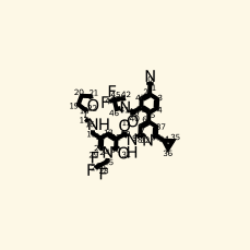 N#Cc1ccc(-c2cc(NC(=O)c3cc(CNC[C@@H]4CCCO4)cn(CC(F)(F)F)c3=O)nc(C3CC3)c2)c(C(=O)N2CC(F)(F)C2)c1